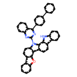 c1ccc(-c2ccc(-c3nc(-n4c5ccc6c7ccccc7oc6c5c5ccc6c7ccccc7[nH]c6c54)nc4ccccc34)cc2)cc1